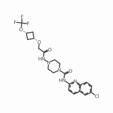 O=C(CO[C@H]1C[C@@H](OC(F)(F)F)C1)NN1CCN(C(=O)Nc2ccc3cc(Cl)ccc3n2)CC1